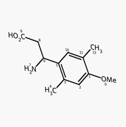 COc1cc(C)c(C(N)CC(=O)O)cc1C